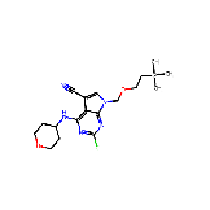 C[Si](C)(C)CCOCn1cc(C#N)c2c(NC3CCOCC3)nc(Cl)nc21